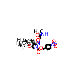 CNC(=O)CON=C1C[C@@H](O[Si](C)(C)C(C)(C)C)CN1C(=O)OCc1ccc([N+](=O)[O-])cc1